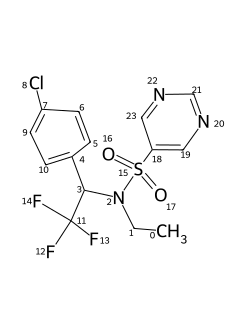 CCN(C(c1ccc(Cl)cc1)C(F)(F)F)S(=O)(=O)c1cncnc1